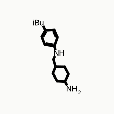 CCC(C)c1ccc(NCC2CCC(N)CC2)cc1